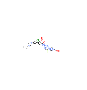 CN1CCN(Cc2ccc(-c3ccc(C(=O)NNc4ncc(F)c(N5CCN(CCO)CC5)n4)c(O)c3Cl)cc2)CC1